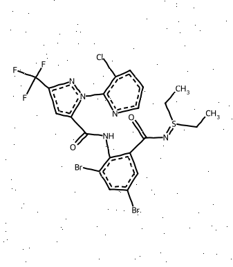 CCS(CC)=NC(=O)c1cc(Br)cc(Br)c1NC(=O)c1cc(C(F)(F)F)nn1-c1ncccc1Cl